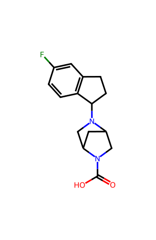 O=C(O)N1CC2CC1CN2C1CCc2cc(F)ccc21